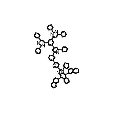 c1ccc(-c2cc(-c3cc(-c4cc(-c5ccccc5)nc(-c5ccccc5)n4)cc(-c4cc(-c5ccccc5)nc(-c5ccccc5)n4)c3)cc(-c3cccc(-c4ccc(-c5nc6c(-c7ccc8ccccc8c7)c7ccccc7c(-c7ccc8ccccc8c7)c6n5-c5ccccc5)cc4)c3)n2)cc1